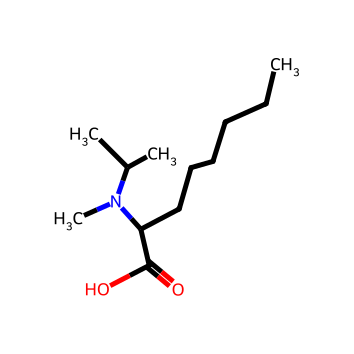 CCCCCCC(C(=O)O)N(C)C(C)C